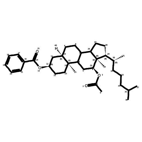 CC(=O)O[C@H]1CC2C(CC[C@@H]3C[C@H](OC(=O)c4ccccc4)CC[C@]23C)C2CC[C@H]([C@H](C)CCCC(C)C)[C@]21C